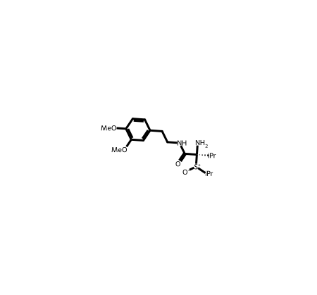 COc1ccc(CCNC(=O)[C@](N)(C(C)C)[S+]([O-])C(C)C)cc1OC